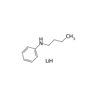 CCCCNc1ccccc1.[LiH]